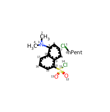 CCCCCCl.CN(C)c1cccc2c(S(=O)(=O)Cl)cccc12